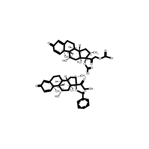 CCC(=O)OCC(=O)[C@@]1(OC(=O)CC)[C@@H](C)C[C@H]2[C@@H]3CCC4=CC(=O)C=C[C@]4(C)[C@@]3(F)[C@@H](O)C[C@@]21C.C[C@H]1C[C@H]2[C@@H]3CCC4=CC(=O)C=C[C@]4(C)[C@@]3(F)[C@@H](O)C[C@]2(C)[C@@]1(OC(=O)c1ccccc1)C(=O)CO